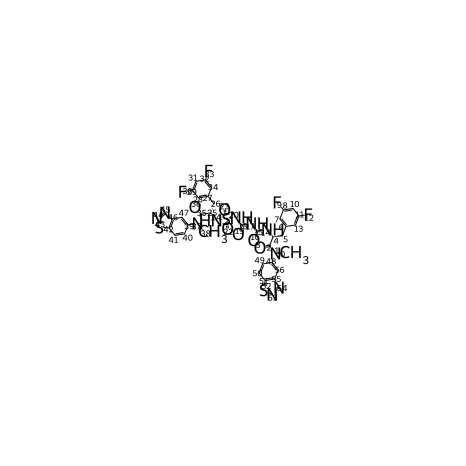 CN(C(=O)[C@H](Cc1cc(F)cc(F)c1)NC(=O)NC(=O)NS(=O)(=O)N[C@@H](Cc1cc(F)cc(F)c1)C(=O)N(C)c1ccc2snnc2c1)c1ccc2snnc2c1